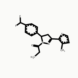 CCC(=O)N1N=C(c2sccc2C)CC1c1ccc(C(F)F)cc1